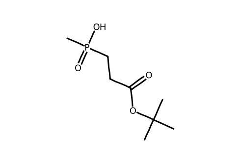 CC(C)(C)OC(=O)CCP(C)(=O)O